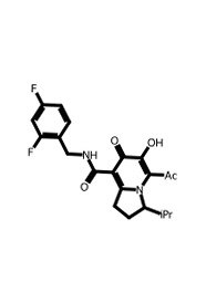 CC(=O)c1c(O)c(=O)c(C(=O)NCc2ccc(F)cc2F)c2n1C(C(C)C)CC2